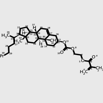 C=C(C)C(=O)OCCOC(=O)O[C@H]1CC[C@@]2(C)C(=CC[C@H]3[C@@H]4CC[C@H](C(C)CCCC(C)C)[C@@]4(C)CC[C@@H]32)C1